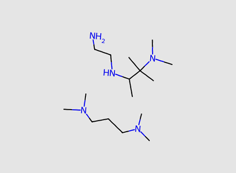 CC(NCCN)C(C)(C)N(C)C.CN(C)CCCN(C)C